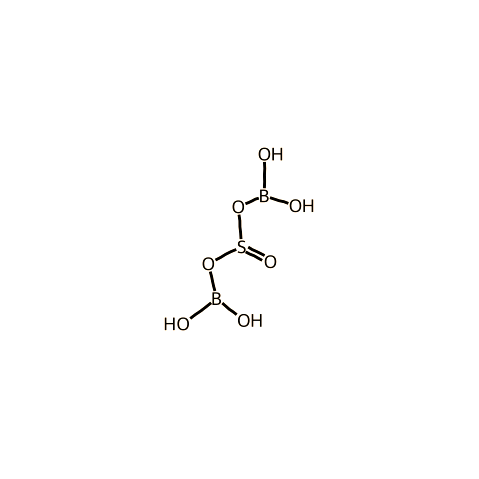 O=S(OB(O)O)OB(O)O